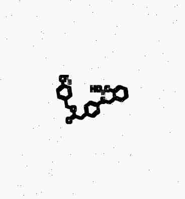 O=C(Cc1ccc(SCc2ccccc2C(=O)O)cc1)OCc1ccc(C(F)(F)F)cc1